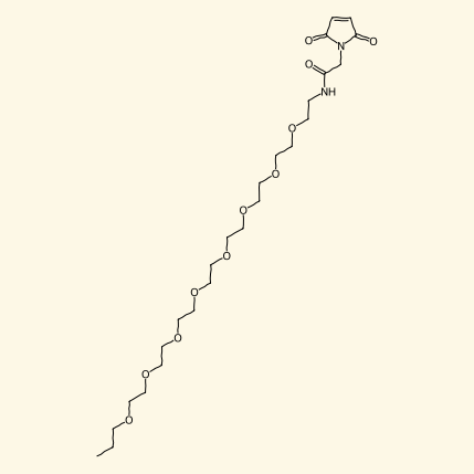 CCCOCCOCCOCCOCCOCCOCCOCCOCCNC(=O)CN1C(=O)C=CC1=O